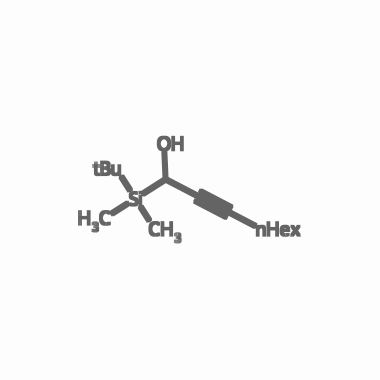 CCCCCCC#CC(O)[Si](C)(C)C(C)(C)C